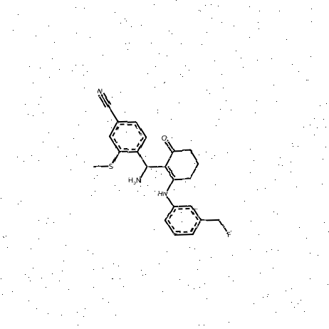 CSc1cc(C#N)ccc1C(N)C1=C(Nc2cccc(CF)c2)CCCC1=O